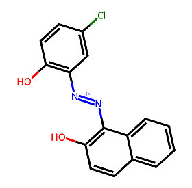 Oc1ccc(Cl)cc1/N=N/c1c(O)ccc2ccccc12